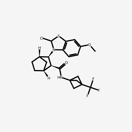 COc1ccc2c(c1)SC(Cl)N2[C@@H]1[C@H]2CC[C@H](C2)[C@@H]1C(=O)NC12CC(C(F)(F)F)(C1)C2